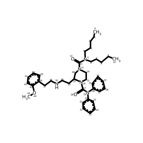 CCCCCN(CCCCC)C(=O)N1CCN(C(=O)N(c2ccccc2)c2ccccc2)C(CCNCCc2ccccc2OC)C1